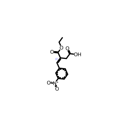 CCOC(=O)/C(=C/c1cccc([N+](=O)[O-])c1)CC(=O)O